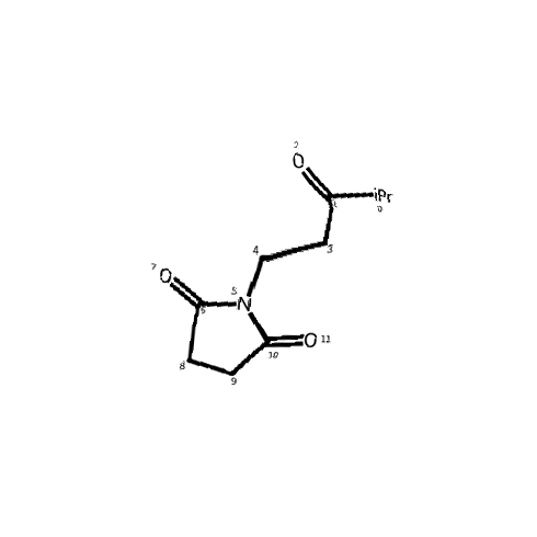 CC(C)C(=O)CCN1C(=O)CCC1=O